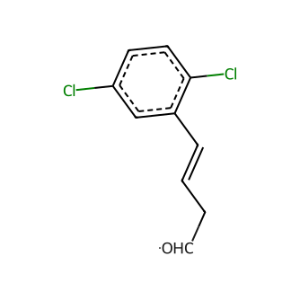 O=[C]C/C=C/c1cc(Cl)ccc1Cl